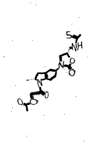 CC(=O)OCC(=O)N1c2ccc(N3C[C@H](CNC(C)=S)OC3=O)cc2C[C@H]1C